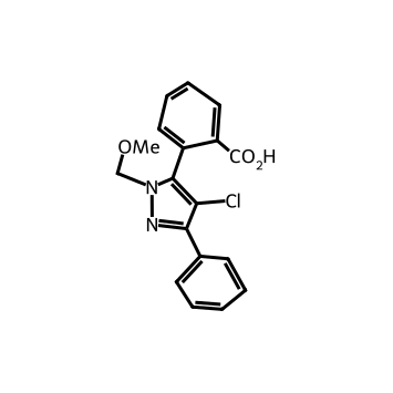 COCn1nc(-c2ccccc2)c(Cl)c1-c1ccccc1C(=O)O